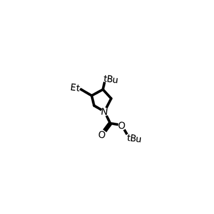 CCC1CN(C(=O)OC(C)(C)C)CC1C(C)(C)C